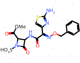 COC(=O)C1C(NC(=O)C(=NOCc2ccccc2)c2csc(N)n2)C(=O)N1S(=O)(=O)O